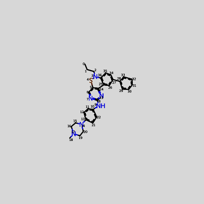 CCCN1Sc2cnc(Nc3ccc(N4CCN(C)CC4)cc3)nc2-c2cc(-c3ccccc3)ccc21